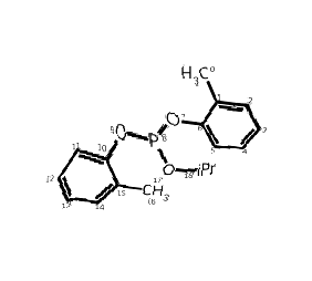 Cc1ccccc1OP(Oc1ccccc1C)OC(C)C